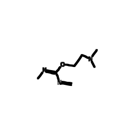 C=N/C(=N\C)OCCN(C)C